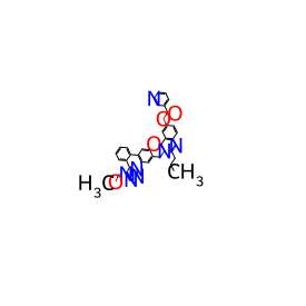 CCCc1nc2ccc(OC(=O)c3cccnc3)cc2c(=O)n1Cc1ccc(-c2ccccc2-c2nnnn2COC)cc1